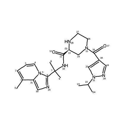 Cc1cccn2c(C(C)(C)NC(=O)[C@@H]3CN(C(=O)c4cnn(C(C)C)c4)CCN3)ncc12